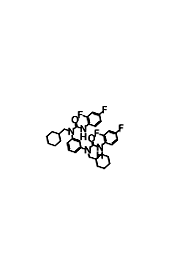 O=C(Nc1ccc(F)cc1F)N(CC1CCCCC1)c1cccc(N(CC2CCCCC2)C(=O)Nc2ccc(F)cc2F)c1